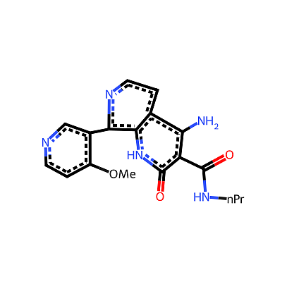 CCCNC(=O)c1c(N)c2ccnc(-c3cnccc3OC)c2[nH]c1=O